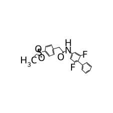 CCS(=O)(=O)c1ccc(CC(=O)Nc2cc(F)c(-c3ccccc3)c(F)c2)cc1